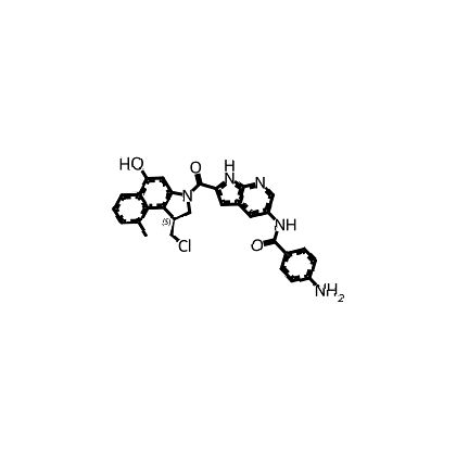 Cc1cccc2c(O)cc3c(c12)[C@H](CCl)CN3C(=O)c1cc2cc(NC(=O)c3ccc(N)cc3)cnc2[nH]1